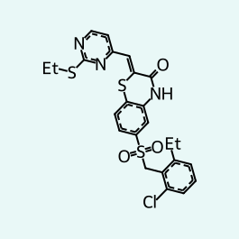 CCSc1nccc(/C=C2\Sc3ccc(S(=O)(=O)Cc4c(Cl)cccc4CC)cc3NC2=O)n1